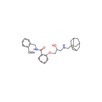 COc1ccccc1CNC(=O)c1ccccc1OCC(O)CNCC12CC3CC(CC(C3)C1)C2